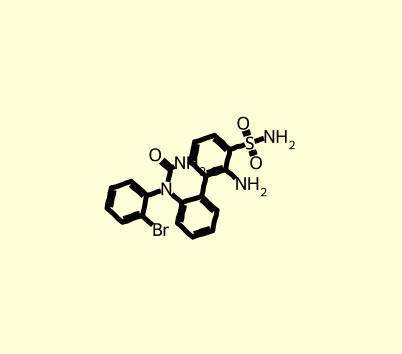 NC(=O)N(c1ccccc1Br)c1ccccc1-c1cccc(S(N)(=O)=O)c1N